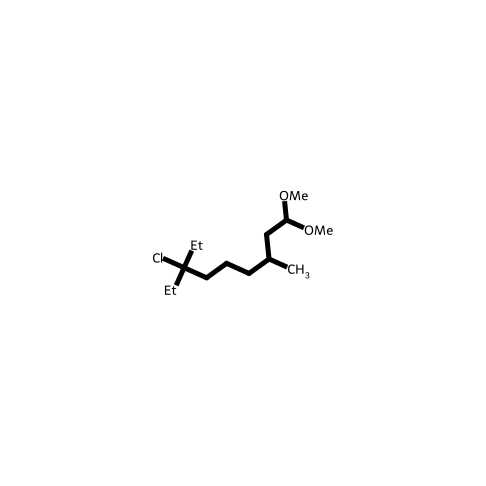 CCC(Cl)(CC)CCCC(C)CC(OC)OC